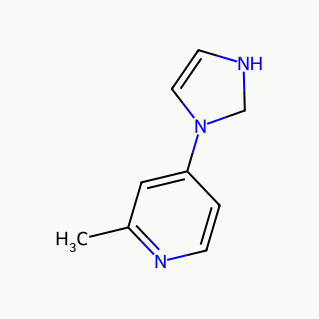 Cc1cc(N2C=CNC2)ccn1